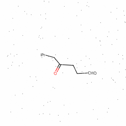 CC(C)CC(=O)CCC=O